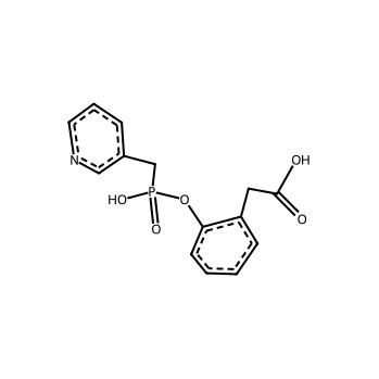 O=C(O)Cc1ccccc1OP(=O)(O)Cc1cccnc1